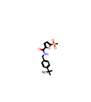 CC(C)(C#N)c1ccc(CNC(=O)c2ccc(S(C)(=O)=O)s2)cc1